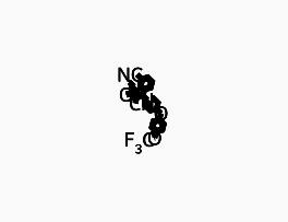 Cn1c(=O)c(C#N)c(N2CCC(Oc3ccc(OC(F)(F)F)cc3)CC2)c2cccc(C#N)c21